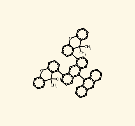 CC1(C)c2ccccc2Oc2cccc(-c3cccc4c(-c5c6ccccc6cc6ccccc56)c5cccc(-c6cccc7c6C(C)(C)c6ccccc6O7)c5cc34)c21